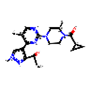 COC(=O)c1nn(C)cc1-c1nc(N2CCN(C(=O)C3CC3)[C@H](C)C2)ncc1C#N